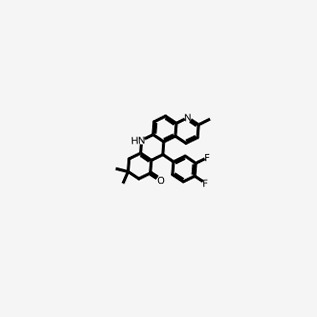 Cc1ccc2c3c(ccc2n1)NC1=C(C(=O)CC(C)(C)C1)C3c1ccc(F)c(F)c1